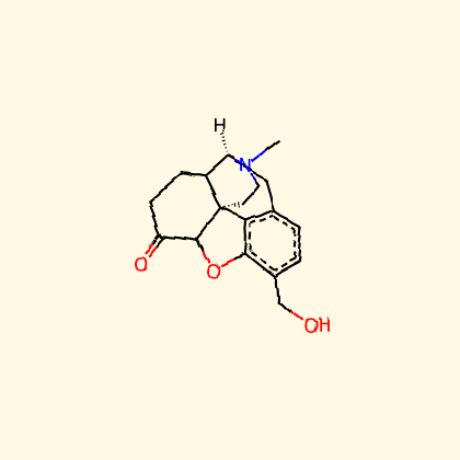 CN1CC[C@]23c4c5ccc(CO)c4OC2C(=O)CCC3[C@H]1C5